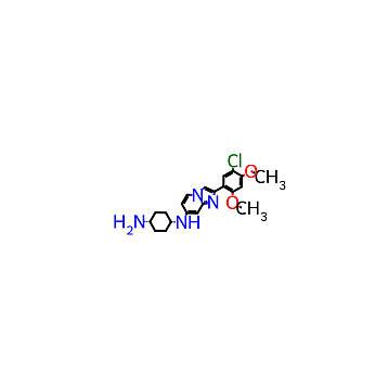 COc1cc(OC)c(-c2cn3ccc(N[C@H]4CC[C@@H](N)CC4)cc3n2)cc1Cl